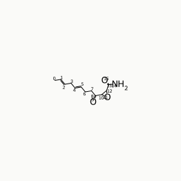 CC=CCC=CCCC(=O)C1OC1C(N)=O